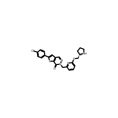 O=c1c2sc(-c3ccc(Cl)cc3)cc2cnn1Cc1cccc(OC[C@H]2CCCN2)n1